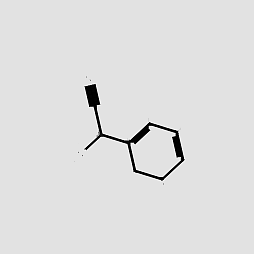 N#CC(N)C1=CC=CCC1